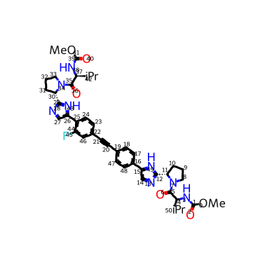 COC(=O)NC(C(=O)N1CCC[C@H]1c1ncc(-c2ccc(C#Cc3ccc(-c4cnc([C@@H]5CCCN5C(=O)[C@@H](NC(=O)OC)C(C)C)[nH]4)c(F)c3)cc2)[nH]1)C(C)C